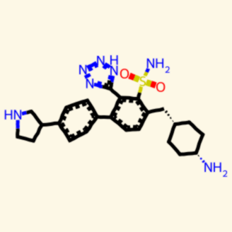 NS(=O)(=O)c1c(C[C@H]2CC[C@@H](N)CC2)ccc(-c2ccc(C3CCNC3)cc2)c1-c1nnn[nH]1